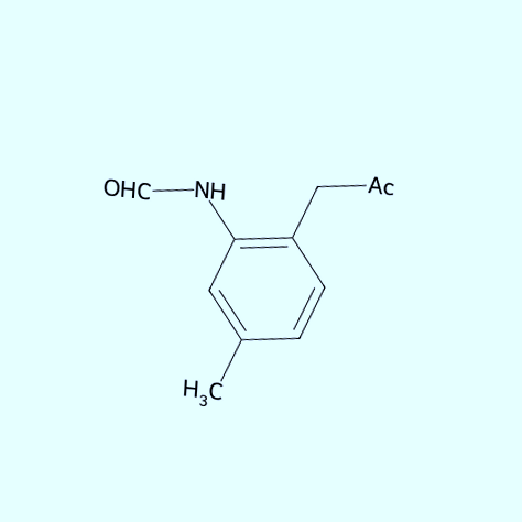 CC(=O)Cc1ccc(C)cc1NC=O